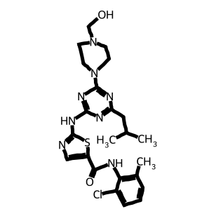 Cc1cccc(Cl)c1NC(=O)c1cnc(Nc2nc(CC(C)C)nc(N3CCN(CO)CC3)n2)s1